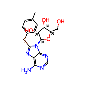 Cc1ccc(Sc2nc3c(N)ncnc3n2[C@@H]2O[C@H](CO)[C@@H](O)[C@H]2O)cc1